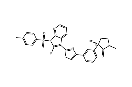 Cc1ccc(S(=O)(=O)n2c(F)c(-c3nc(-c4cccc([C@]5(O)CCN(C)C5=O)c4)cs3)c3cccnc32)cc1